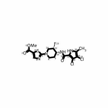 COC(=O)c1cnc(N2CC[C@@H](NC(=O)c3[nH]c(C)c(Cl)c3Cl)[C@@H](F)C2)s1